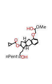 CCCCC[C@@H](O)CC[C@@H]1[C@H]2Cc3cccc(OCC(O)OC)c3C[C@H]2C[C@H]1OC(=O)C1CC1